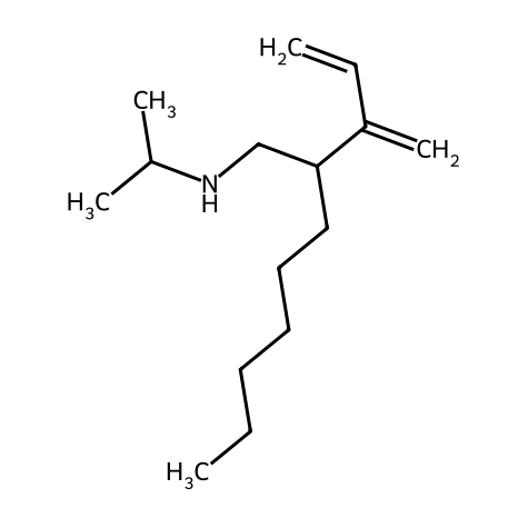 C=CC(=C)C(CCCCCC)CNC(C)C